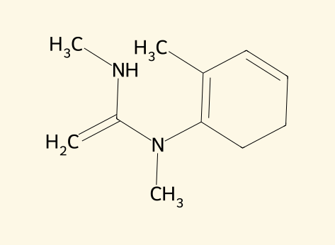 C=C(NC)N(C)C1=C(C)C=CCC1